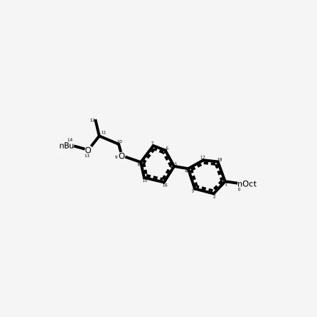 CCCCCCCCc1ccc(-c2ccc(OCC(C)OCCCC)cc2)cc1